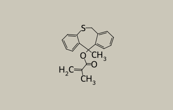 C=C(C)C(=O)OC1(C)c2ccccc2CSc2ccccc21